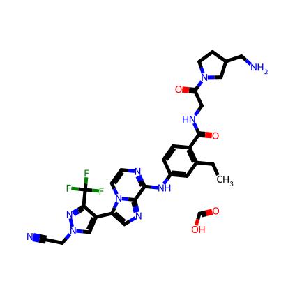 CCc1cc(Nc2nccn3c(-c4cn(CC#N)nc4C(F)(F)F)cnc23)ccc1C(=O)NCC(=O)N1CCC(CN)C1.O=CO